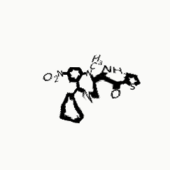 CN1c2ccc([N+](=O)[O-])cc2C(c2ccccc2)=NCC1C(N)C(=O)c1cccs1